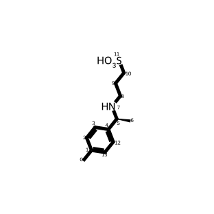 Cc1ccc([C@H](C)NCCCS(=O)(=O)O)cc1